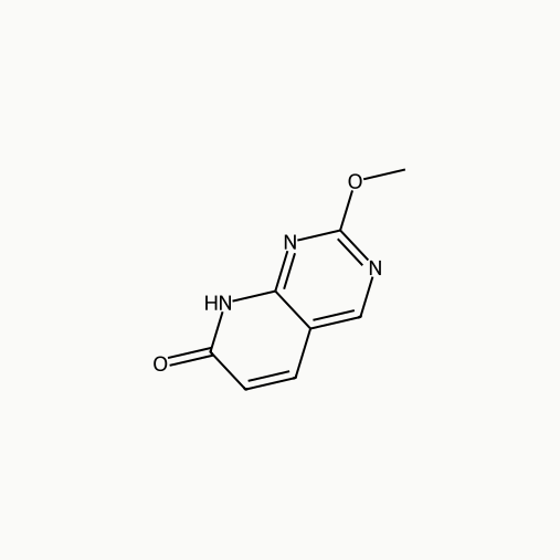 COc1ncc2ccc(=O)[nH]c2n1